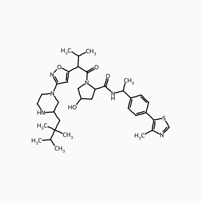 Cc1ncsc1-c1ccc(C(C)NC(=O)C2CC(O)CN2C(=O)C(c2cc(N3CCNC(CC(C)(C)C(C)C)C3)no2)C(C)C)cc1